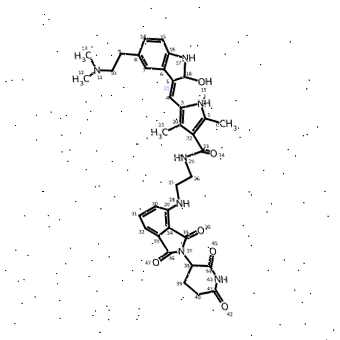 Cc1[nH]c(/C=C2/c3cc(CCN(C)C)ccc3NC2O)c(C)c1C(=O)NCCNc1cccc2c1C(=O)N(C1CCC(=O)NC1=O)C2=O